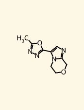 Cc1nnc(-c2cnc3n2CCOC3)o1